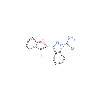 NC(=O)n1nc(-c2oc3ccccc3c2F)c2c[c]ccc21